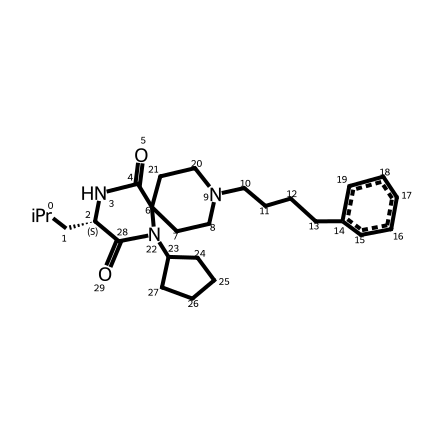 CC(C)C[C@@H]1NC(=O)C2(CCN(CCCCc3ccccc3)CC2)N(C2CCCC2)C1=O